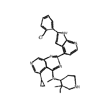 CN(c1nc(-c2ccnc3[nH]c(-c4ccccc4Cl)cc23)nc2cncc(C3CC3)c12)C1CCNCC1(C)C